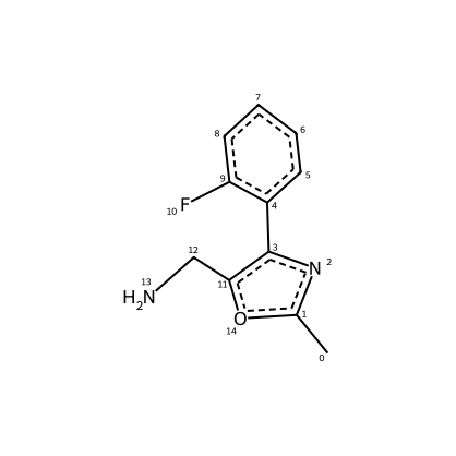 Cc1nc(-c2ccccc2F)c(CN)o1